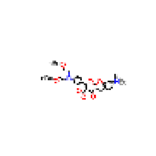 CCCCOCCN(CCOCCCC)c1ccc2cc(C(=O)c3cc4ccc(N(CC)CC)cc4oc3=O)c(=O)oc2c1